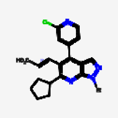 CCn1ncc2c(-c3ccnc(Cl)c3)c(/C=C/C(=O)O)c(C3CCCC3)nc21